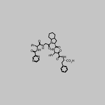 CCCC(NC(=O)[C@@H]1CC2CCCCC2N1C(=O)CNC(=O)C(NC(=O)c1cnccn1)C(C)C)C(=O)C(=O)N[C@@H](Cc1ccccc1)C(=O)O